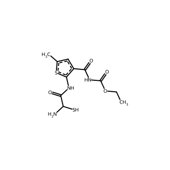 CCOC(=O)NC(=O)c1cc(C)sc1NC(=O)C(N)S